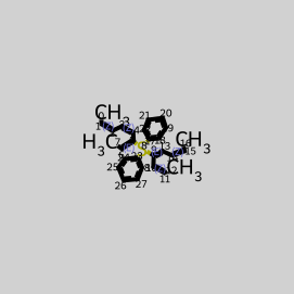 C\C=C/C=C\C(=C/C)S(C(/C=C\C)=C/C=C\C)(c1ccccc1)c1ccccc1